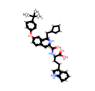 CC(C)(C)c1ccc(Oc2ccc3cc(C(=O)NC(CCc4c[nH]c5ccccc45)C(=O)O)nc(CC4CCCC4)c3c2)cc1